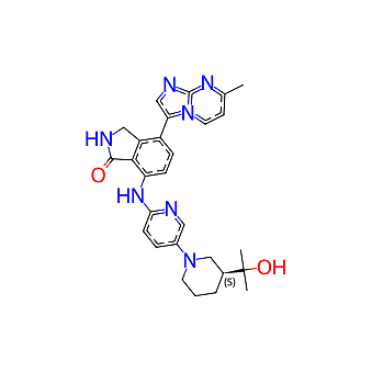 Cc1ccn2c(-c3ccc(Nc4ccc(N5CCC[C@H](C(C)(C)O)C5)cn4)c4c3CNC4=O)cnc2n1